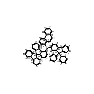 c1ccc(C2(c3ccccc3)c3ccccc3-c3ccc(N(c4cccc5c4-c4ccccc4C54c5ccccc5-c5ccccc54)c4cccc5c4ccc4ccccc45)cc32)cc1